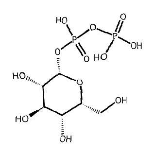 O=P(O)(O)OP(=O)(O)O[C@@H]1O[C@H](CO)[C@H](O)[C@@H](O)[C@@H]1O